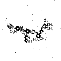 C[C@@H]1CN(Cc2csc(C3=C(CN4CCN(c5ccc(C(=O)NS(=O)(=O)c6ccc(NC[C@H]7COCCO7)c([N+](=O)[O-])c6)c(Oc6cnc7[nH]ccc7c6)c5)CC4)CCC(C)(C)C3)c2)C[C@H](C)N1C